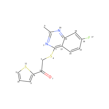 Cc1nc(SCC(=O)c2cccs2)c2ccc(F)cc2n1